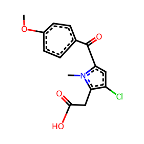 COc1ccc(C(=O)c2cc(Cl)c(CC(=O)O)n2C)cc1